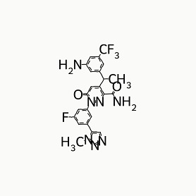 CC(c1cc(N)cc(C(F)(F)F)c1)c1cc(=O)n(-c2cc(F)cc(-c3cnnn3C)c2)nc1C(N)=O